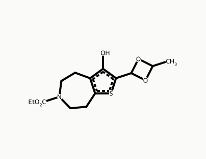 CCOC(=O)N1CCc2sc(C3OC(C)O3)c(O)c2CC1